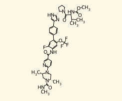 CNC(=O)N1C[C@@H](C)N(c2ccc(C(=O)Nc3cc(OC(F)(F)F)c(-c4ccc(-c5c[nH]c([C@@H]6CCCN6C(=O)[C@@H](NC(=O)OC)C(C)C)n5)cc4)cc3F)cn2)C[C@@H]1C